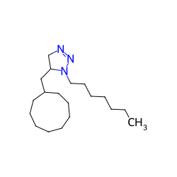 CCCCCCCN1N=NCC1CC1CCCCCCCC1